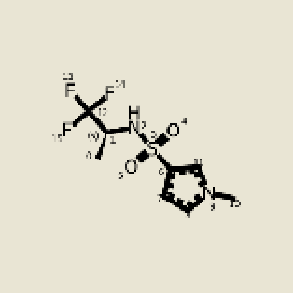 C[C@H](NS(=O)(=O)c1ccn(C)c1)C(F)(F)F